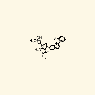 C[C@]1(O)C[C@@H](n2nc(-c3ccc4ccc(-c5ccccc5Br)nc4c3)c(C(N)=O)c2N)C1